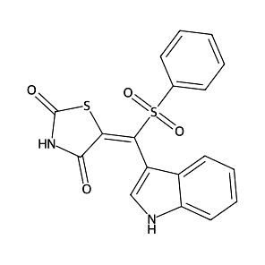 O=C1NC(=O)C(=C(c2c[nH]c3ccccc23)S(=O)(=O)c2ccccc2)S1